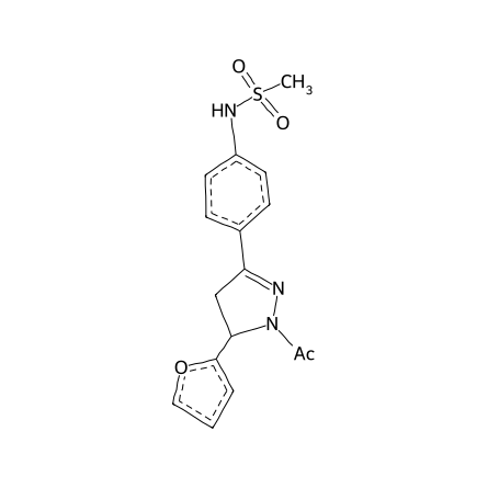 CC(=O)N1N=C(c2ccc(NS(C)(=O)=O)cc2)CC1c1ccco1